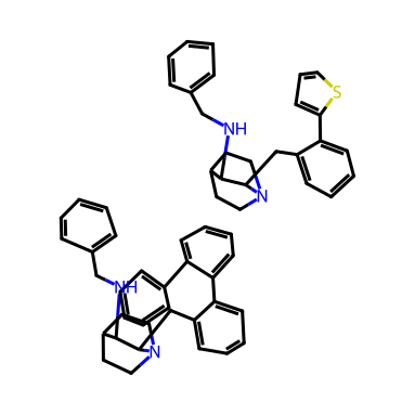 c1ccc(CNC2C3CCN(CC3)C2Cc2ccccc2-c2ccccc2-c2ccccc2)cc1.c1ccc(CNC2C3CCN(CC3)C2Cc2ccccc2-c2cccs2)cc1